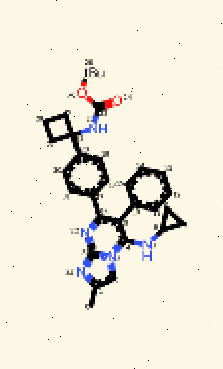 Cc1cn2c(NC3CC3)c(-c3ccccc3)c(-c3ccc(C4(NC(=O)OC(C)(C)C)CCC4)cc3)nc2n1